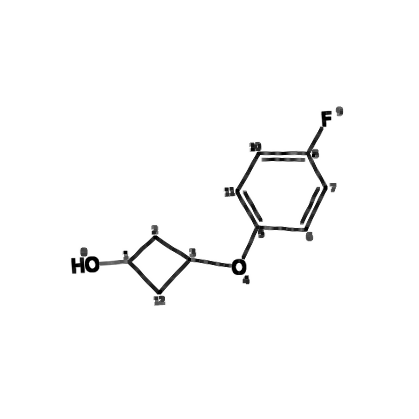 OC1CC(Oc2ccc(F)cc2)C1